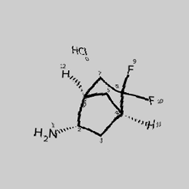 Cl.N[C@H]1C[C@H]2C[C@@H]1CC2(F)F